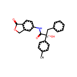 N#Cc1ccc([C@](O)(Cc2ccccc2)C(=O)Nc2ccc3c(c2)COC3=O)cc1